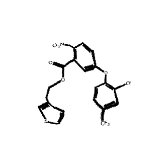 O=C(OCc1ccsc1)c1cc(Oc2ccc(C(F)(F)F)cc2Cl)ccc1[N+](=O)[O-]